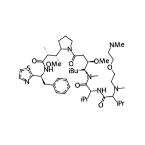 CC[C@H](C)[C@@H]([C@@H](CC(=O)N1CCCC1[C@H](OC)[C@@H](C)C(=O)N[C@@H](Cc1ccccc1)c1nccs1)OC)N(C)C(=O)C(NC(=O)C(C(C)C)N(C)CCOCCNC)C(C)C